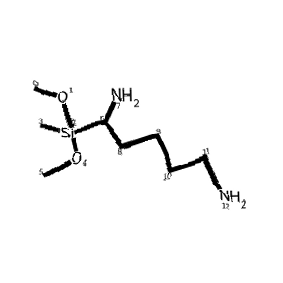 CO[Si](C)(OC)C(N)CCCCN